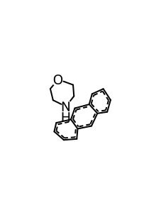 C1COCCN1.c1ccc2cc3ccccc3cc2c1